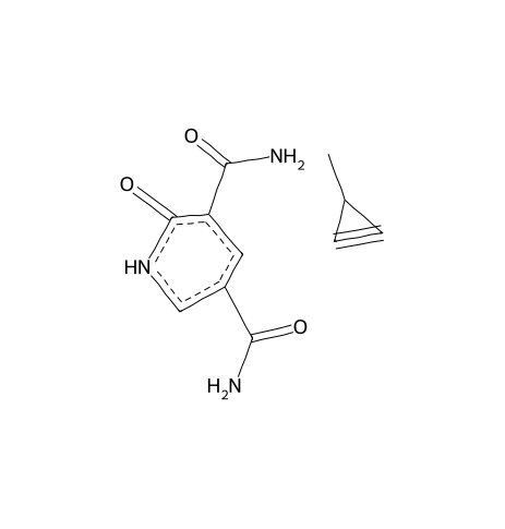 CC1C#C1.NC(=O)c1c[nH]c(=O)c(C(N)=O)c1